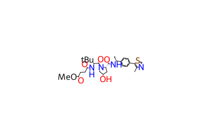 COC(=O)CCC(=O)NC(C(=O)N1C[C@H](O)C[C@H]1C(=O)N[C@@H](C)c1ccc(-c2scnc2C)cc1)C(C)(C)C